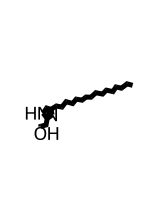 CCCCCCCCCCCCCCCCC1CNC(CCO)=N1